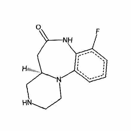 O=C1C[C@@H]2CNCCN2c2cccc(F)c2N1